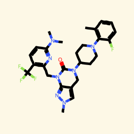 Cc1cccc(F)c1N1CCC(N2Cc3cn(C)nc3N(Cc3nc(N(C)C)ccc3C(F)(F)F)C2=O)CC1